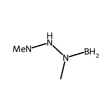 BN(C)NNC